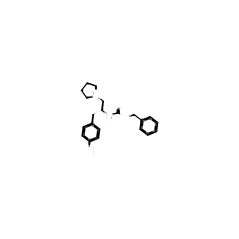 O=C(N[C@@H](Cc1ccc(Cl)cc1)CN1CCCC1)OCc1ccccc1